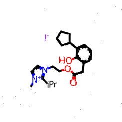 CC(C)c1n(CCOC(=O)Cc2cccc(C3CCCC3)c2O)cc[n+]1C.[I-]